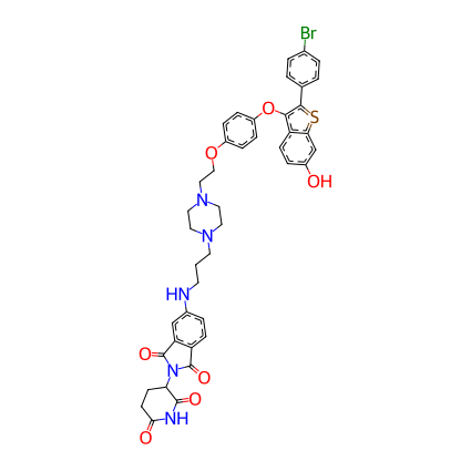 O=C1CCC(N2C(=O)c3ccc(NCCCN4CCN(CCOc5ccc(Oc6c(-c7ccc(Br)cc7)sc7cc(O)ccc67)cc5)CC4)cc3C2=O)C(=O)N1